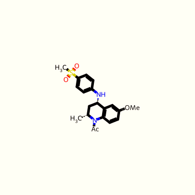 COc1ccc2c(c1)[C@@H](Nc1ccc(S(C)(=O)=O)cc1)C[C@@H](C)N2C(C)=O